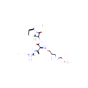 CC(C)(C)OC(=O)NCCCON=C(C(=O)NC1C(=O)N2C(C(=O)O)=CCS[C@@H]12)c1csc(NC=O)n1